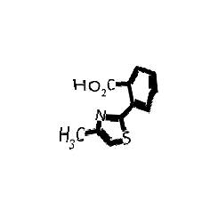 Cc1csc(-c2ccccc2C(=O)O)n1